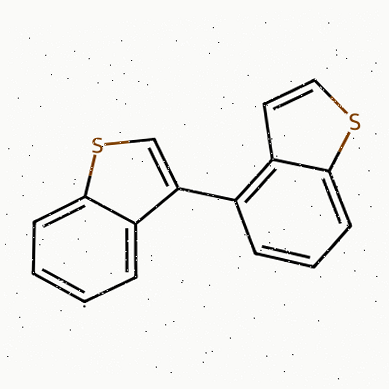 [c]1ccc2scc(-c3cccc4sccc34)c2c1